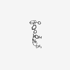 CC1CCN(C[C@H](O)COc2ccc(C34CC5CC(CC(c6ccccc6)(C5)C3)C4)cc2)CC1